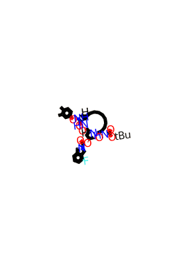 Cc1ccc(ONC(=O)[C@@]23C[C@H]2CCCCCCC[C@H](NC(=O)OC(C)(C)C)C(=O)N2C[C@H](OC(=O)N4Cc5cccc(F)c5C4)C[C@H]2C(=O)N3)cc1C